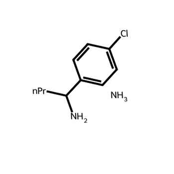 CCCC(N)c1ccc(Cl)cc1.N